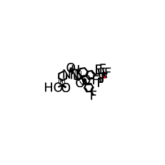 O=C(O)[C@@H]1CCCN(C(=O)N2CC[C@@]3(S(=O)(=O)c4ccc(F)cc4)c4ccc(C(F)(C(F)(F)F)C(F)(F)F)cc4CC[C@@H]23)C1